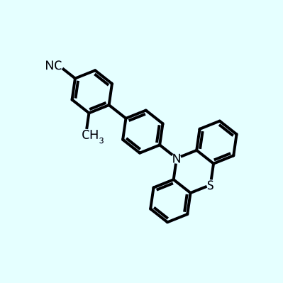 Cc1cc(C#N)ccc1-c1ccc(N2c3ccccc3Sc3ccccc32)cc1